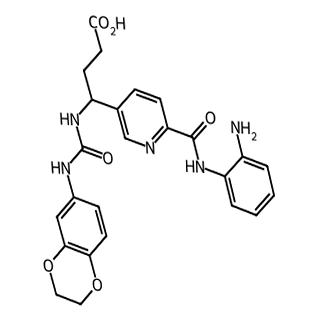 Nc1ccccc1NC(=O)c1ccc(C(CCC(=O)O)NC(=O)Nc2ccc3c(c2)OCCO3)cn1